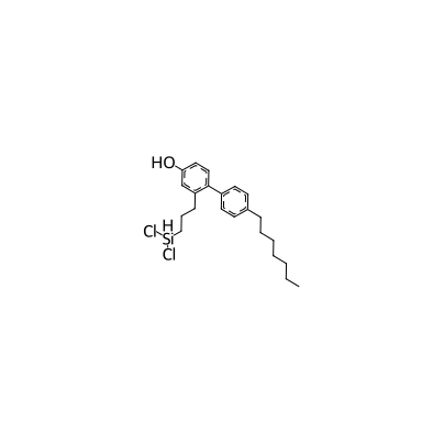 CCCCCCCc1ccc(-c2ccc(O)cc2CCC[SiH](Cl)Cl)cc1